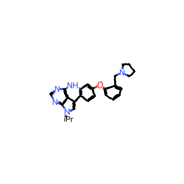 CC(C)n1cc(-c2ccc(Oc3ccccc3CN3CCCC3)cc2)c2c(N)ncnc21